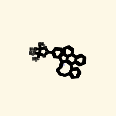 CC1(C)OB(c2cccc(/C3=C\CCCc4ccccc4C4=C3C3C=CC=CC3c3ccccc34)c2)OC1(C)C